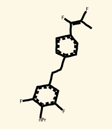 CCCc1c(F)cc(CCc2ccc(/C(F)=C(\C)F)cc2)cc1F